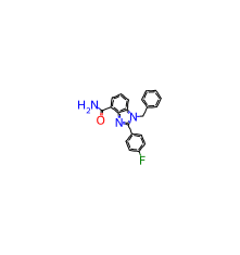 NC(=O)c1cccc2c1nc(-c1ccc(F)cc1)n2Cc1ccccc1